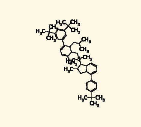 CC1=CC=C(c2cc(C(C)(C)C)cc(C(C)(C)C)c2)C(CC(C)C)C1CS(C)(C)C1C(C)CC2C(c3ccc(C(C)(C)C)cc3)=CC=CC21